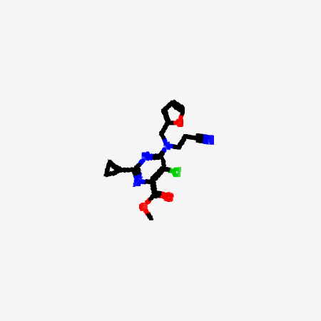 COC(=O)c1nc(C2CC2)nc(N(CCC#N)Cc2ccco2)c1Cl